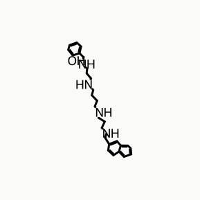 Oc1ccccc1CNCCCNCCCCNCCCNCc1ccc2ccccc2c1